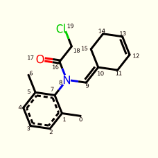 Cc1cccc(C)c1N(C=C1CC=CCC1)C(=O)CCl